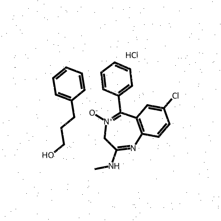 CNC1=Nc2ccc(Cl)cc2C(c2ccccc2)=[N+]([O-])C1.Cl.OCCCc1ccccc1